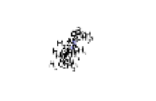 C=N/C(=N\C=C(/C)NC(=O)C(C)(C)NC(=O)OC(C)(C)C)Oc1cccc2c1C(C)(C)CO2